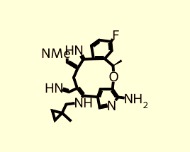 CN/C=C1/C/C(C=N)=C(/NCC2(C)CC2)c2cnc(N)c(c2)O[C@H](C)c2cc(F)ccc2C1=N